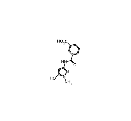 Nn1nc(NC(=O)c2cccc(C(=O)O)c2)cc1O